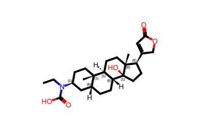 CCN(C(=O)O)[C@H]1CC[C@@]2(C)[C@H](CC[C@@H]3[C@@H]2CC[C@]2(C)[C@@H](C4=CC(=O)OC4)CC[C@]32O)C1